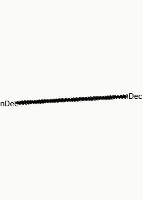 CCCCCCCCCCCCCCCCCCCCCCCCCCCCCCCCCCCCCCCCCCCCCCCCCCCCCCCCCCCCCCCCCCCCCCCCCCCCCCCCCCCCCCCCCCCCCCCC